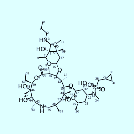 CCCNC[C@]1(O)[C@H](C)O[C@@H](O[C@H]2[C@H](C)[C@@H](O[C@@H]3O[C@H](C)C[C@H](N(C)S(=O)(=O)CC4CC4)[C@H]3O)[C@](C)(O)C[C@@H](C)CN[C@H](C)[C@@H](O)[C@](C)(O)[C@@H](CC)OC(=O)[C@@H]2C)C[C@@]1(C)OC